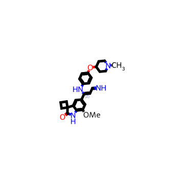 COc1cc(/C(=C/C=N)Nc2ccc(OC3CCN(C)CC3)cc2)cc2c1NC(=O)C21CCC1